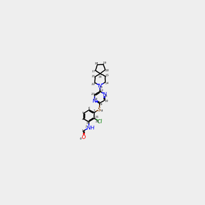 O=CNc1cccc(Sc2cnc(N3CCC4(CCCC4)CC3)cn2)c1Cl